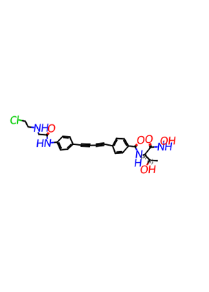 C[C@@H](O)[C@H](NC(=O)c1ccc(C#CC#Cc2ccc(NC(=O)CNCCCl)cc2)cc1)C(=O)NO